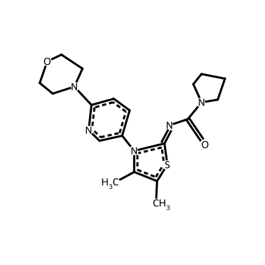 Cc1sc(=NC(=O)N2CCCC2)n(-c2ccc(N3CCOCC3)nc2)c1C